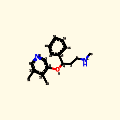 CNCCC(Oc1cncc(C)c1C)c1ccccc1